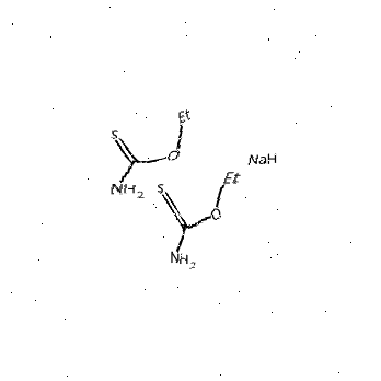 CCOC(N)=S.CCOC(N)=S.[NaH]